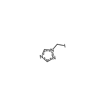 ICn1cncn1